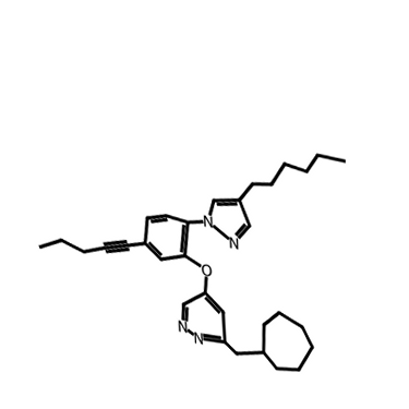 CCCC#Cc1ccc(-n2cc(CCCCCC)cn2)c(Oc2cnnc(CC3CCCCCC3)c2)c1